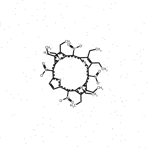 CCC1=C(CC)c2nc1c([N+](=O)[O-])c1c(CC)c(CC)c(c([N+](=O)[O-])c3nc(c([N+](=O)[O-])c4c(CC)c(CC)c(c2[N+](=O)[O-])n4CC)C=C3)n1CC